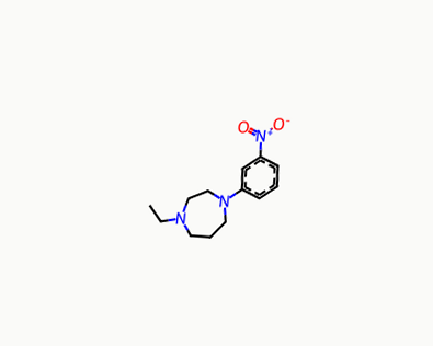 CCN1CCCN(c2cccc([N+](=O)[O-])c2)CC1